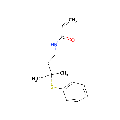 C=CC(=O)NCCC(C)(C)Sc1ccccc1